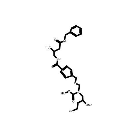 COC(CCC(C)C)CN(COCc1ccc(C(=O)NCC(C)CC(=O)NCc2ccccc2)cc1)C(=O)OC(C)(C)C